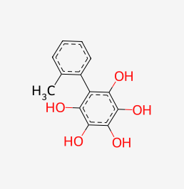 Cc1ccccc1-c1c(O)c(O)c(O)c(O)c1O